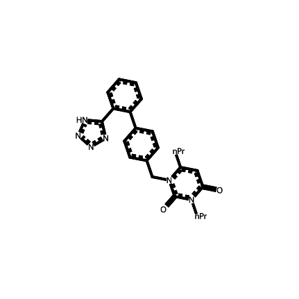 CCCc1cc(=O)n(CCC)c(=O)n1Cc1ccc(-c2ccccc2-c2nnn[nH]2)cc1